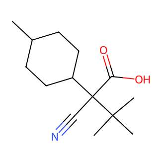 CC1CCC(C(C#N)(C(=O)O)C(C)(C)C)CC1